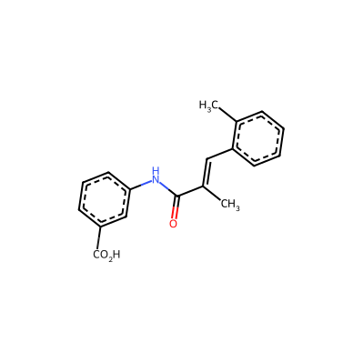 C/C(=C\c1ccccc1C)C(=O)Nc1cccc(C(=O)O)c1